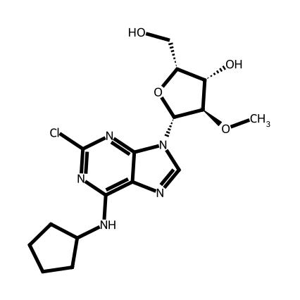 CO[C@@H]1[C@@H](O)[C@@H](CO)O[C@H]1n1cnc2c(NC3CCCC3)nc(Cl)nc21